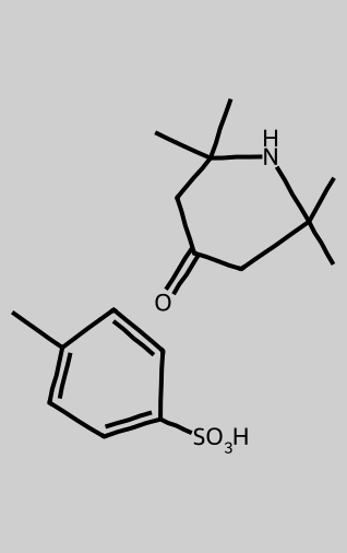 CC1(C)CC(=O)CC(C)(C)N1.Cc1ccc(S(=O)(=O)O)cc1